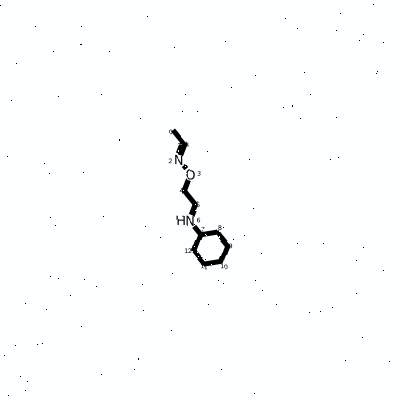 C/C=N/OCCNC1CCCCC1